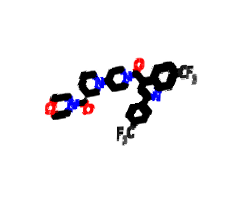 O=C(c1cc(-c2ccc(C(F)(F)F)cc2)nc2cc(C(F)(F)F)ccc12)N1CCC(N2CCC[C@@H](C(=O)N3CCOCC3)C2)CC1